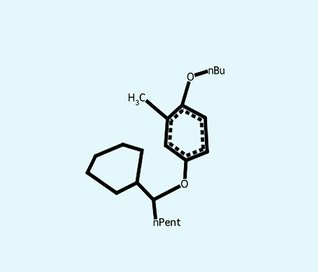 CCCCCC(Oc1ccc(OCCCC)c(C)c1)C1CCCCC1